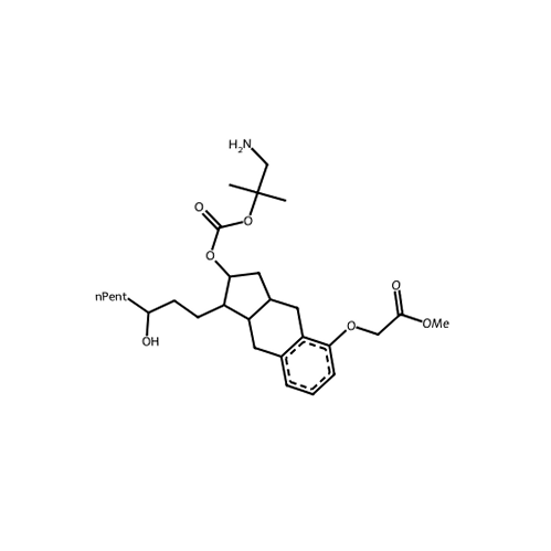 CCCCCC(O)CCC1C(OC(=O)OC(C)(C)CN)CC2Cc3c(cccc3OCC(=O)OC)CC21